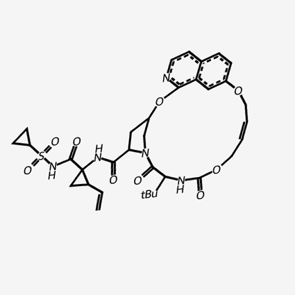 C=CC1CC1(NC(=O)C1CC2CN1C(=O)C(C(C)(C)C)NC(=O)OC/C=C\COc1ccc3ccnc(c3c1)O2)C(=O)NS(=O)(=O)C1CC1